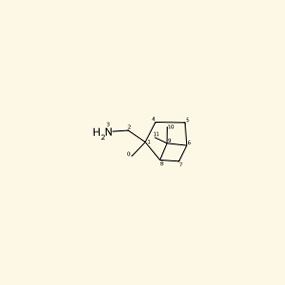 CC1(CN)CCC2CC1C2(C)C